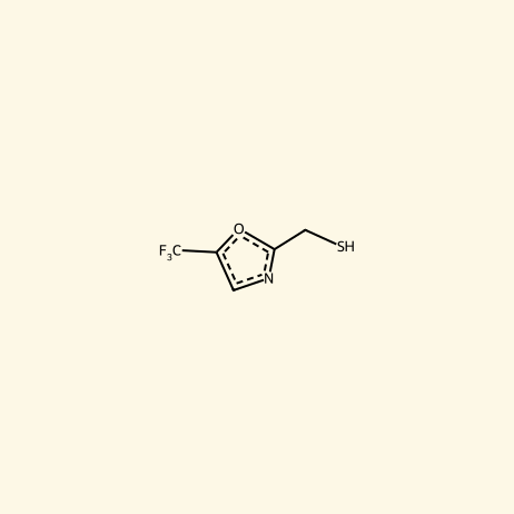 FC(F)(F)c1cnc(CS)o1